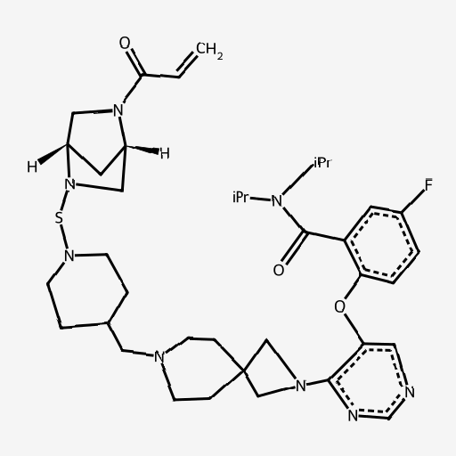 C=CC(=O)N1C[C@@H]2C[C@H]1CN2SN1CCC(CN2CCC3(CC2)CN(c2ncncc2Oc2ccc(F)cc2C(=O)N(C(C)C)C(C)C)C3)CC1